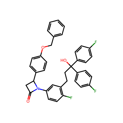 O=C1CC(c2ccc(OCc3ccccc3)cc2)N1c1ccc(F)c(CCC(O)(c2ccc(F)cc2)c2ccc(F)cc2)c1